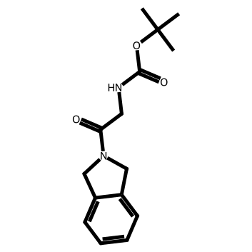 CC(C)(C)OC(=O)NCC(=O)N1Cc2ccccc2C1